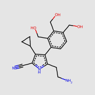 N#Cc1[nH]c(CCN)c(-c2ccc(CO)c(CO)c2CO)c1C1CC1